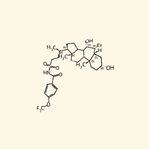 CC[C@H]1[C@@H](O)C2C3CC[C@H]([C@H](C)CCS(=O)(=O)NC(=O)c4ccc(OC(F)(F)F)cc4)[C@@]3(C)CCC2[C@@]2(C)CC[C@@H](O)C[C@@H]12